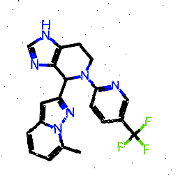 Cc1cccc2cc(C3c4nc[nH]c4CCN3c3ccc(C(F)(F)F)cn3)nn12